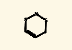 C1=CS[N]SC1